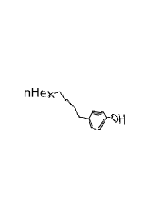 CCCCCCCCCCc1ccc(O)cc1